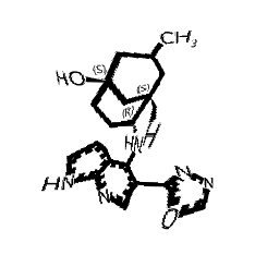 CC1C[C@H]2C[C@](O)(CC[C@H]2Nc2c(-c3nnco3)cnc3[nH]ccc23)C1